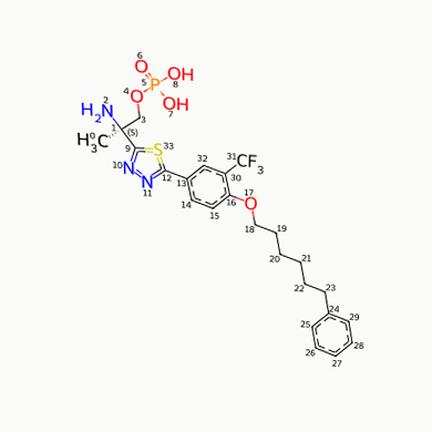 C[C@](N)(COP(=O)(O)O)c1nnc(-c2ccc(OCCCCCCc3ccccc3)c(C(F)(F)F)c2)s1